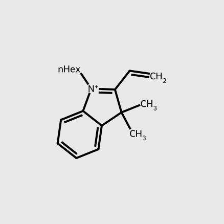 C=CC1=[N+](CCCCCC)c2ccccc2C1(C)C